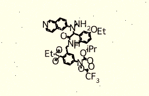 CCOc1ccc(F)c(C(C(=O)NCc2cc(N(OC(=O)C(F)(F)F)C(=O)OC(C)C)ccc2S(=O)(=O)CC)N(N)c2ccc3cnccc3c2)c1